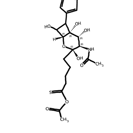 CC(=O)N[C@@H]1[C@@H](O)[C@]2(O)C(c3ccccc3)C(O)[C@H]2O[C@@]1(O)CCCCC(=S)OC(C)=O